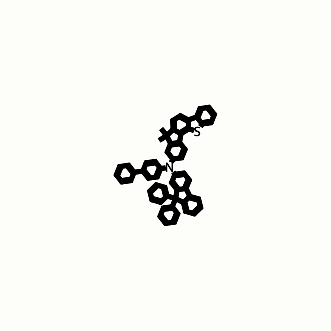 CC1(C)C2=C(C=CC(N(c3ccc(-c4ccccc4)cc3)c3ccc4c(c3)C(c3ccccc3)(c3ccccc3)c3ccccc3-4)C2)c2c1ccc1c2sc2ccccc21